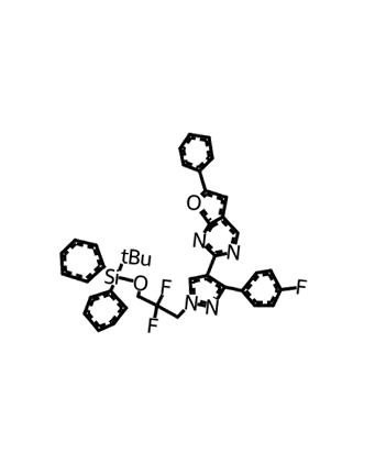 CC(C)(C)[Si](OCC(F)(F)Cn1cc(-c2ncc3cc(-c4ccccc4)oc3n2)c(-c2ccc(F)cc2)n1)(c1ccccc1)c1ccccc1